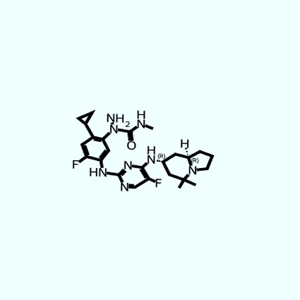 CNC(=O)N(N)c1cc(Nc2ncc(F)c(N[C@@H]3C[C@H]4CCCN4C(C)(C)C3)n2)c(F)cc1C1CC1